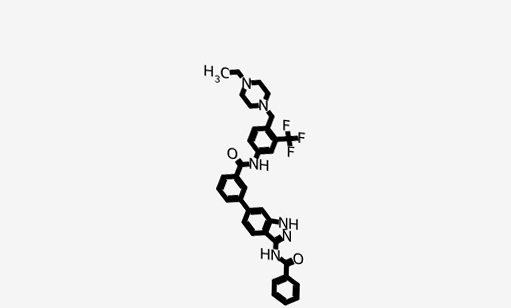 CCN1CCN(Cc2ccc(NC(=O)c3cccc(-c4ccc5c(NC(=O)c6ccccc6)n[nH]c5c4)c3)cc2C(F)(F)F)CC1